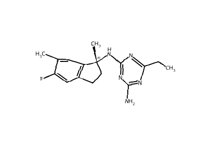 CCc1nc(N)nc(N[C@]2(C)CCc3cc(F)c(C)cc32)n1